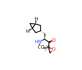 C[C@]1(C(=O)[C@H](C[C@@H]2C[C@@H]3C[C@@H]3C2)NC(=O)O)CO1